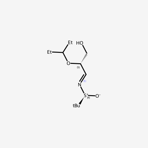 CCC(CC)O[C@@H](/C=N/[S@@+]([O-])C(C)(C)C)CO